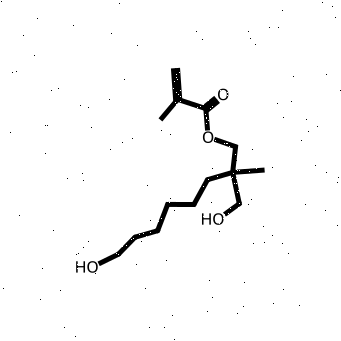 C=C(C)C(=O)OCC(C)(CO)CCCCCCO